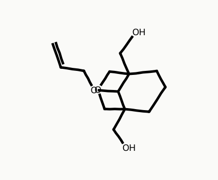 C=CCOC1C2(CO)CCCC1(CO)COC2